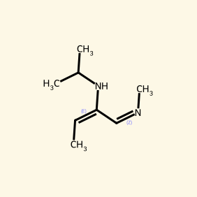 C/C=C(\C=N/C)NC(C)C